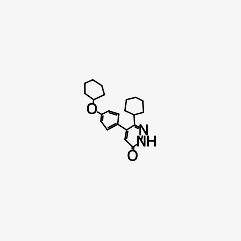 O=c1cc(-c2ccc(OC3CCCCC3)cc2)c(C2CCCCC2)n[nH]1